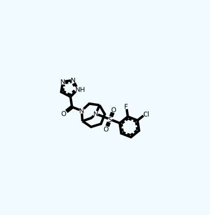 O=C(c1cnn[nH]1)N1CC2CCCC1CN2S(=O)(=O)c1cccc(Cl)c1F